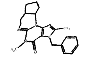 Cc1nc2c(n1Cc1ccccc1)C(=O)N(C)C1=NCC3CCCC3N12